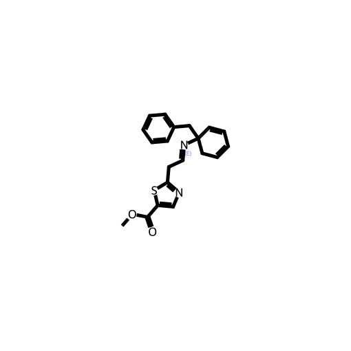 COC(=O)c1cnc(C/C=N/C2(Cc3ccccc3)C=CC=CC2)s1